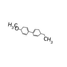 CCC1C=CC(C2=CCC(OC)C=C2)=CC1